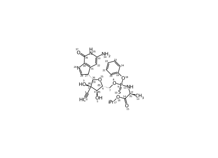 C#C[C@@]1(O)[C@H](O)[C@@H](COP(=S)(N[C@@H](C)C(=O)OC(C)C)Oc2ccccc2)O[C@H]1C1C=Nc2c1cc(N)[nH]c2=O